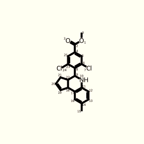 COC(=O)c1cc(Cl)c(C2Nc3ccc(C)cc3C3C=CCC32)c(Cl)c1